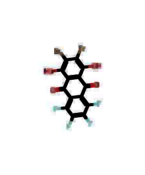 O=C1c2c(O)c(Br)c(Br)c(O)c2C(=O)c2c(F)c(F)c(F)c(F)c21